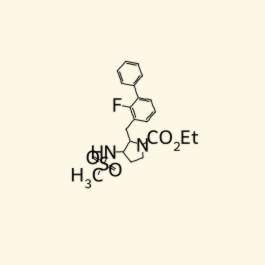 CCOC(=O)N1CCC(NS(C)(=O)=O)C1Cc1cccc(-c2ccccc2)c1F